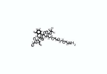 CCCC(C(=O)NC=O)N(C=O)Cc1c(C)cccc1NC(=O)CN(CCOCCOCCOCCN)C(=O)OC(C)(C)C